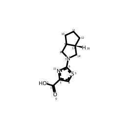 O=C(O)c1csc(N2CC3CCC[C@@H]3C2)n1